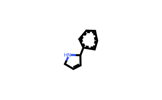 [c]1ccccc1C1C=CCN1